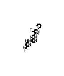 FCc1cc(N2CCCCC2)nnc1-c1cnc2c(Nc3ccc(C(F)(F)F)cn3)ccnc2n1